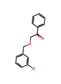 O=C(COCc1cccc(Cl)c1)c1ccccc1